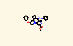 COC(=O)c1cc(N2CCC(OC3CCCCC3)CC2)c2c(C3CCC3)nn(-c3ccccc3)c2n1